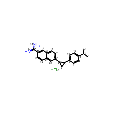 CC(C)c1ccc(C2CC2c2ccc3cc(C(=N)N)ccc3c2)cc1.Cl